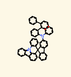 c1ccc(-c2ccccc2-c2ccccc2N(c2ccccc2)c2ccc3c(c2)C2(c4ccccc4-3)c3ccccc3-n3c4ccccc4c4cccc2c43)cc1